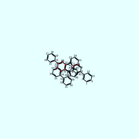 c1ccc(-c2cccc(N(c3ccc(-c4ccccc4)cc3-c3ccccc3)c3ccccc3-c3cccc4ccc5oc6ccccc6c5c34)c2)cc1